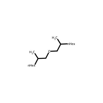 CCCCCCC(C)COCC(C)CCCCCC